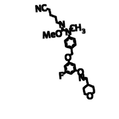 CO/C(=N\CCCCC#N)N(C)c1ccc(COc2cc(F)cc(ON=CC3CCOCC3)c2)cc1